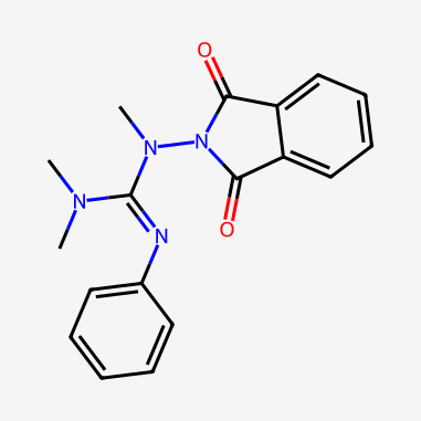 CN(C)C(=Nc1ccccc1)N(C)N1C(=O)c2ccccc2C1=O